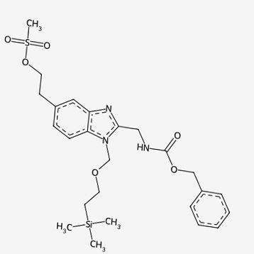 C[Si](C)(C)CCOCn1c(CNC(=O)OCc2ccccc2)nc2cc(CCOS(C)(=O)=O)ccc21